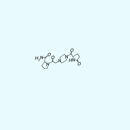 NC(=O)C1CCCN1C(=O)CN1CCN(C(=O)C2CCC(=O)N2)CC1